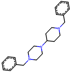 c1ccc(CN2CCC(N3CCN(Cc4ccccc4)CC3)CC2)cc1